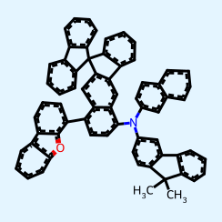 CC1(C)c2ccccc2-c2cc(N(c3ccc4ccccc4c3)c3ccc(-c4cccc5c4oc4ccccc45)c4cc5c(cc34)-c3ccccc3C53c4ccccc4-c4ccccc43)ccc21